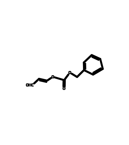 O=C/C=C/OC(=O)OCc1ccccc1